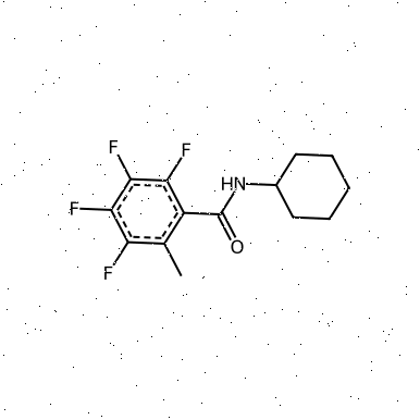 Cc1c(F)c(F)c(F)c(F)c1C(=O)NC1CCCCC1